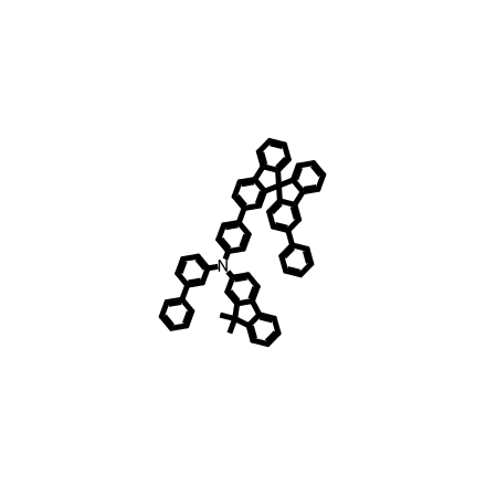 CC1(C)c2ccccc2-c2ccc(N(c3ccc(-c4ccc5c(c4)C4(c6ccccc6-c6cc(-c7ccccc7)ccc64)c4ccccc4-5)cc3)c3cccc(-c4ccccc4)c3)cc21